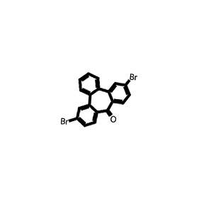 O=c1c2ccc(Br)cc2c2ccccc2c2cc(Br)ccc12